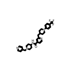 O=C(NC1CCN(Cc2ccncc2)CC1)c1ccnc(CC2CCN(c3ccc(C(F)(F)F)cc3)CC2)c1